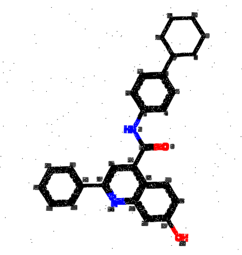 O=C(Nc1ccc(C2CCCCC2)cc1)c1cc(-c2ccccc2)nc2cc(O)ccc12